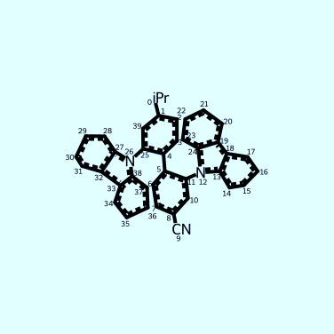 CC(C)c1ccc(-c2ccc(C#N)cc2-n2c3ccccc3c3ccccc32)c(-n2c3ccccc3c3ccccc32)c1